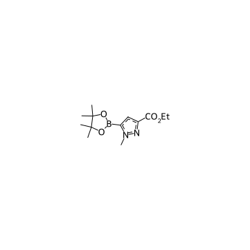 CCOC(=O)c1cc(B2OC(C)(C)C(C)(C)O2)n(C)n1